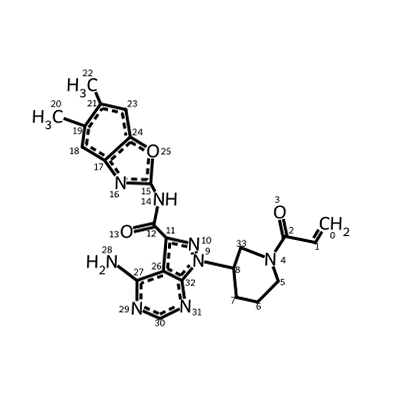 C=CC(=O)N1CCCC(n2nc(C(=O)Nc3nc4cc(C)c(C)cc4o3)c3c(N)ncnc32)C1